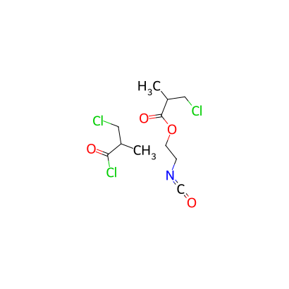 CC(CCl)C(=O)Cl.CC(CCl)C(=O)OCCN=C=O